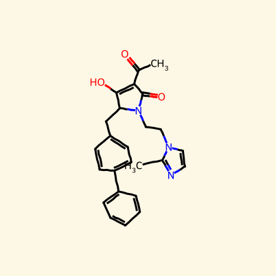 CC(=O)C1=C(O)C(Cc2ccc(-c3ccccc3)cc2)N(CCn2ccnc2C)C1=O